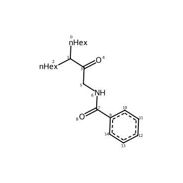 CCCCCCC(CCCCCC)C(=O)CNC(=O)c1ccccc1